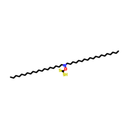 CCCCCCCCCCCCCCCCCCCN(CCCCCCCCCCCCCCCCCCC)OC(=S)S